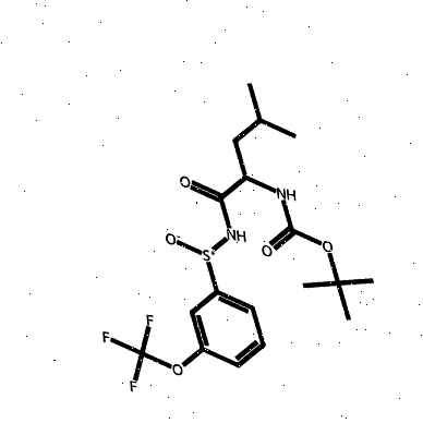 CC(C)CC(NC(=O)OC(C)(C)C)C(=O)N[S+]([O-])c1cccc(OC(F)(F)F)c1